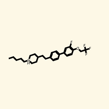 CCCCC[SiH]1CCC(CCc2ccc(-c3ccc(OCC(F)(F)F)c(F)c3)cc2)CC1